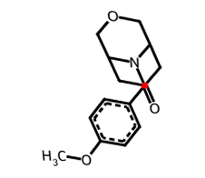 COc1ccc(CN2C3COCC2CC(=O)C3)cc1